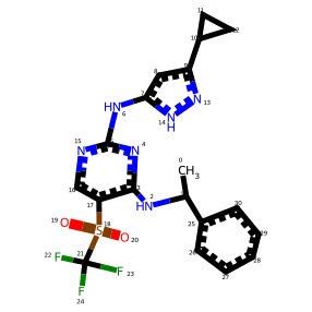 CC(Nc1nc(Nc2cc(C3CC3)n[nH]2)ncc1S(=O)(=O)C(F)(F)F)c1ccccc1